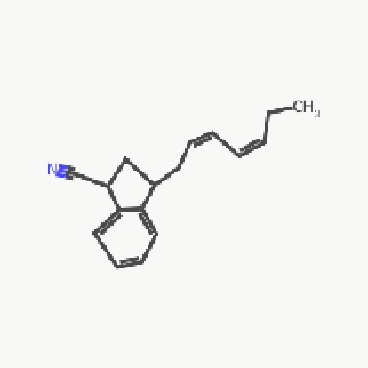 CC/C=C\C=C/CC1CC(C#N)c2ccccc21